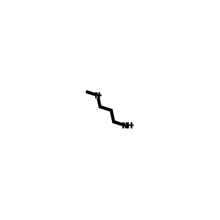 C[N]CCC[NH]